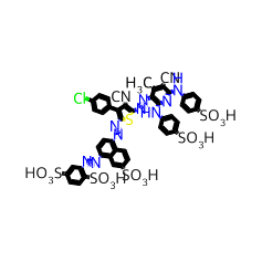 Cc1c(C#N)c(Nc2ccc(S(=O)(=O)O)cc2)nc(Nc2ccc(S(=O)(=O)O)cc2)c1/N=N/c1sc(/N=N/c2ccc(/N=N/c3cc(S(=O)(=O)O)ccc3S(=O)(=O)O)c3cc(S(=O)(=O)O)ccc23)c(-c2ccc(Cl)cc2)c1C#N